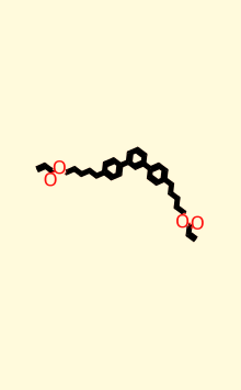 C=CC(=O)OCCCCCc1ccc(-c2cccc(-c3ccc(CCCCCOC(=O)C=C)cc3)c2)cc1